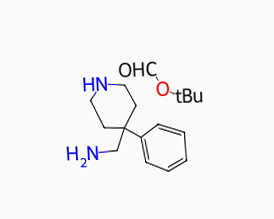 CC(C)(C)OC=O.NCC1(c2ccccc2)CCNCC1